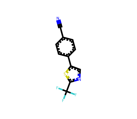 N#Cc1ccc(-c2cnc(C(F)(F)F)s2)cc1